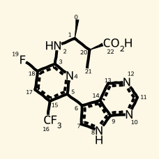 C[C@H](Nc1nc(-c2c[nH]c3ncncc23)c(C(F)(F)F)cc1F)[C@H](C)C(=O)O